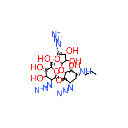 CCCN[C@@H]1CC(N=[N+]=[N-])[C@@H](O[C@H]2OC([C@@H](C)O)[C@@H](O)C(O)C2N=[N+]=[N-])C(OC2O[C@H](CN=[N+]=[N-])C(O)C2O)[C@@H]1O